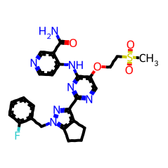 CS(=O)(=O)CCOc1cnc(-c2nn(Cc3ccccc3F)c3c2CCC3)nc1Nc1ccncc1C(N)=O